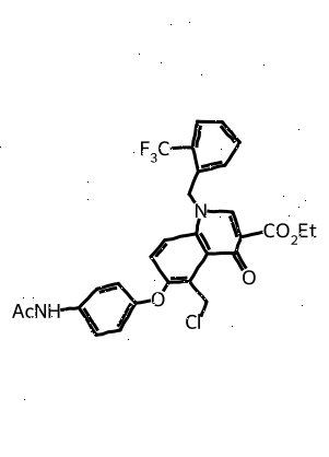 CCOC(=O)c1cn(Cc2ccccc2C(F)(F)F)c2ccc(Oc3ccc(NC(C)=O)cc3)c(CCl)c2c1=O